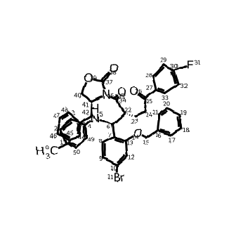 Cc1ccc(N[C@H](c2ccc(Br)cc2OCc2ccccc2)[C@@H](CCC(=O)c2ccc(F)cc2)C(=O)N2C(=O)OC[C@@H]2Cc2ccccc2)cc1